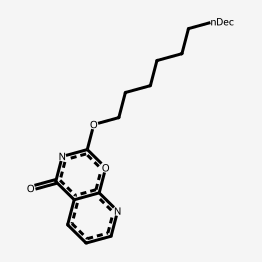 CCCCCCCCCCCCCCCCOc1nc(=O)c2cccnc2o1